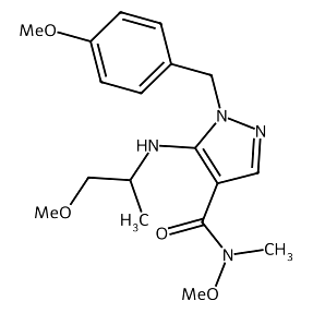 COCC(C)Nc1c(C(=O)N(C)OC)cnn1Cc1ccc(OC)cc1